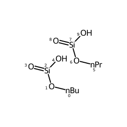 CCCCO[Si](=O)O.CCCO[Si](=O)O